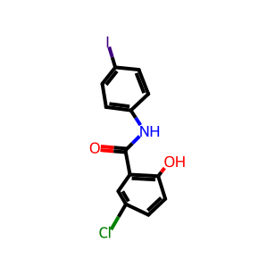 O=C(Nc1ccc(I)cc1)c1cc(Cl)ccc1O